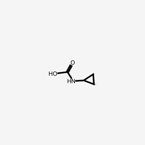 O=C(O)NC1[CH]C1